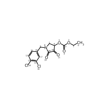 CCOC(=O)OC1CN(Cc2ccc(Cl)c(Cl)c2)C(=O)C1=O